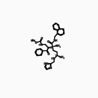 CC(C)(C)OC(=O)NCN(C(=O)c1ccccc1)[C@@](N)(CC[C@@H](N)NCc1ncc[nH]1)C(=O)NCc1cccc2ccccc12